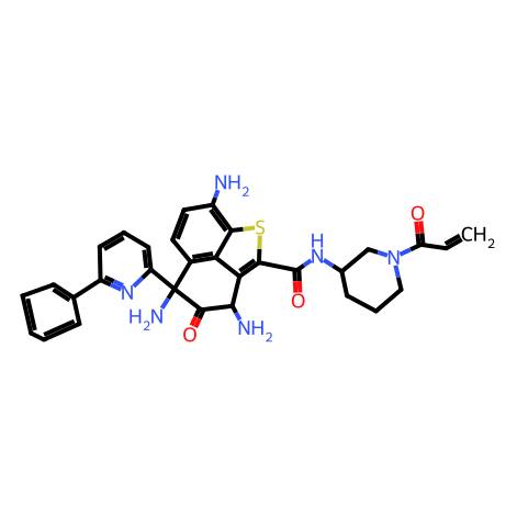 C=CC(=O)N1CCCC(NC(=O)c2sc3c(N)ccc4c3c2C(N)C(=O)C4(N)c2cccc(-c3ccccc3)n2)C1